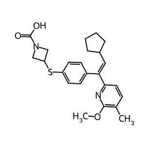 COc1nc(C(=CC2CCCC2)c2ccc(SC3CN(C(=O)O)C3)cc2)ccc1C